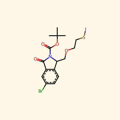 CC(C)(C)OC(=O)N1C(=O)c2cc(Br)ccc2C1COCCSI